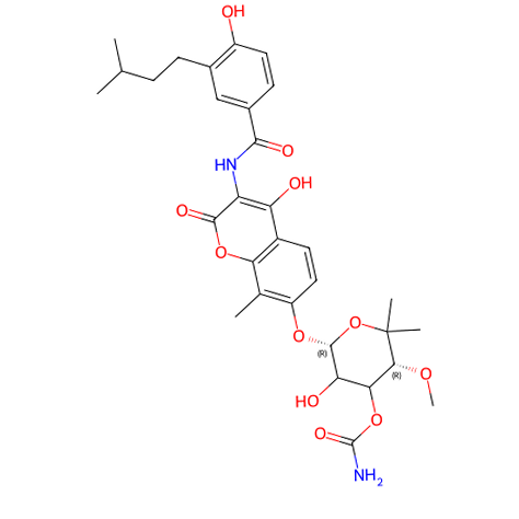 CO[C@@H]1C(OC(N)=O)C(O)[C@H](Oc2ccc3c(O)c(NC(=O)c4ccc(O)c(CCC(C)C)c4)c(=O)oc3c2C)OC1(C)C